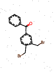 O=C(c1ccccc1)c1ccc(CBr)c(CBr)c1